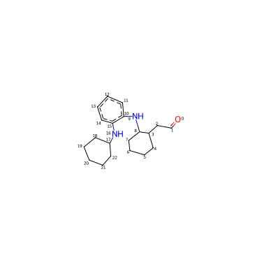 O=CCC1CCCCC1Nc1ccccc1NC1CCCCC1